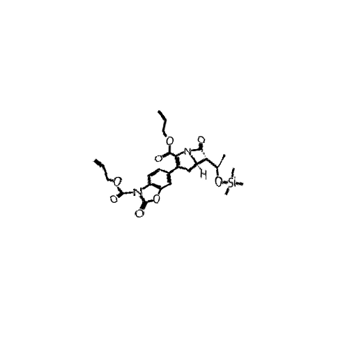 C=CCOC(=O)C1=C(c2ccc3c(c2)oc(=O)n3C(=O)OCC=C)C[C@@H]2[C@@H]([C@@H](C)O[Si](C)(C)C)C(=O)N12